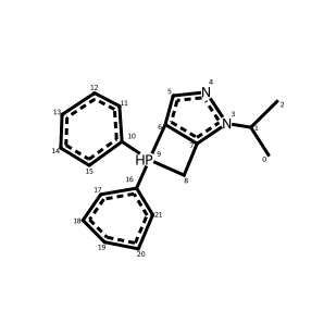 CC(C)n1ncc2c1C[PH]2(c1ccccc1)c1ccccc1